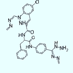 C=N/N=C\N(N)c1ccc(Cl)cc1/C=C/C(=O)NC(Cc1ccccc1)C(=O)Nc1ccc(/C(=N/N=C)NN)cc1